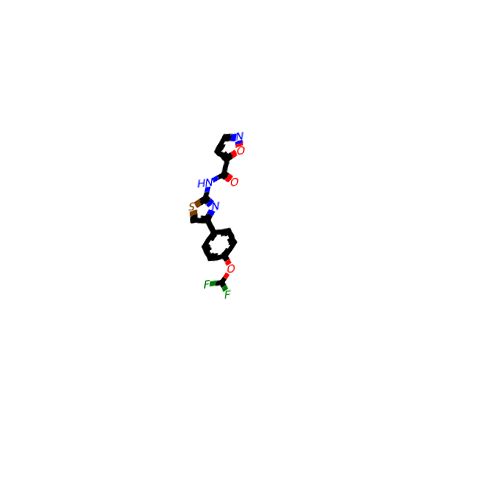 O=C(Nc1nc(-c2ccc(OC(F)F)cc2)cs1)c1ccno1